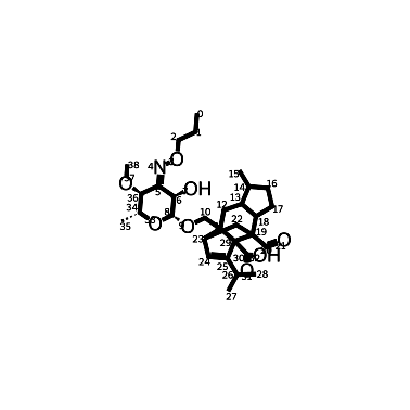 CCCON=C1[C@@H](O)[C@H](OCC23CC4C(C)CCC4C4(C=O)CC2C=C(C(C)C)C43C(=O)O)O[C@H](C)[C@H]1OC